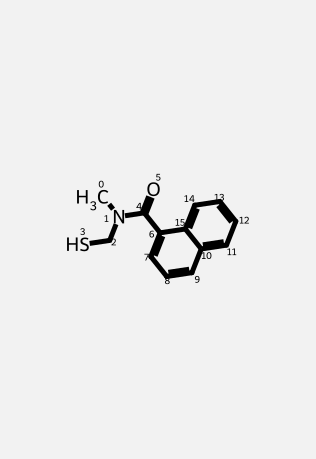 CN(CS)C(=O)c1cccc2ccccc12